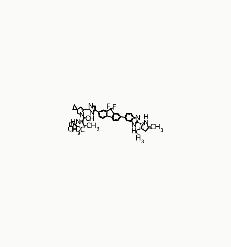 COC(=O)N[C@H](C(=O)N1CC2(CC2)C[C@H]1c1ncc(-c2ccc3c(c2)C(F)(F)c2cc(-c4ccc5nc([C@H]6N[C@H](C)C[C@@H]6C)[nH]c5c4)ccc2-3)[nH]1)C(C)C